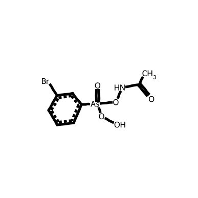 CC(=O)NO[As](=O)(OO)c1cccc(Br)c1